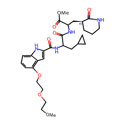 COCCOCCOc1cccc2[nH]c(C(=O)NC(CC3CC3)C(=O)NC(C[C@@H]3CCCNC3=O)C(=O)OC)cc12